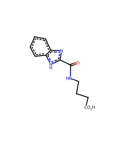 O=C(O)CCCNC(=O)c1nc2ccccc2[nH]1